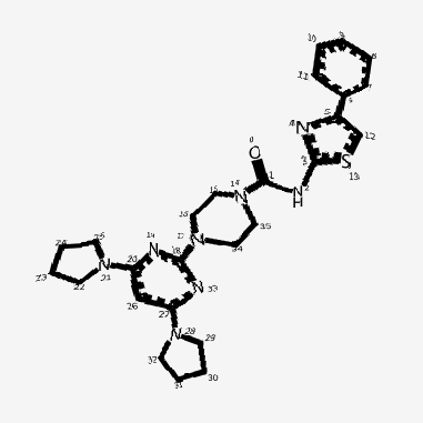 O=C(Nc1nc(-c2ccccc2)cs1)N1CCN(c2nc(N3CCCC3)cc(N3CCCC3)n2)CC1